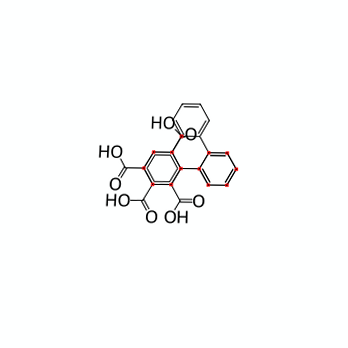 O=C(O)c1cc(C(=O)O)c(-c2ccccc2-c2ccccc2-c2ccccc2-c2ccccc2)c(C(=O)O)c1C(=O)O